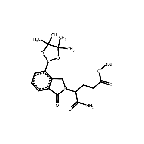 CC(C)(C)OC(=O)CCC(C(N)=O)N1Cc2c(B3OC(C)(C)C(C)(C)O3)cccc2C1=O